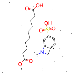 CN1Cc2ccc(S(=O)(=O)O)cc21.COC(=O)CCCCCCCCC(=O)O